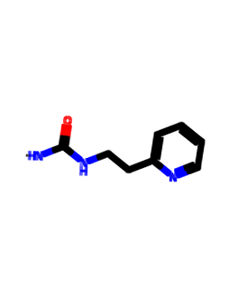 [NH]C(=O)NCCc1ccccn1